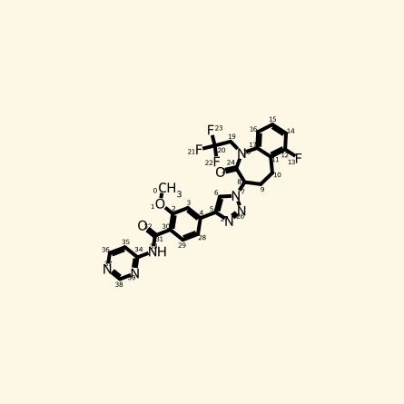 COc1cc(-c2cn(C3CCc4c(F)cccc4N(CC(F)(F)F)C3=O)nn2)ccc1C(=O)Nc1ccncn1